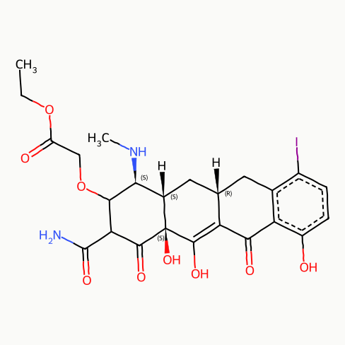 CCOC(=O)COC1C(C(N)=O)C(=O)[C@@]2(O)C(O)=C3C(=O)c4c(O)ccc(I)c4C[C@H]3C[C@H]2[C@@H]1NC